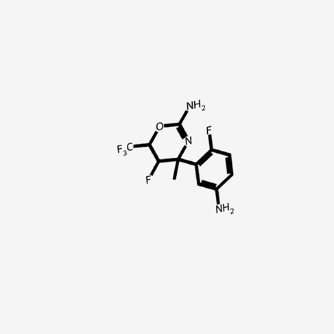 CC1(c2cc(N)ccc2F)N=C(N)OC(C(F)(F)F)C1F